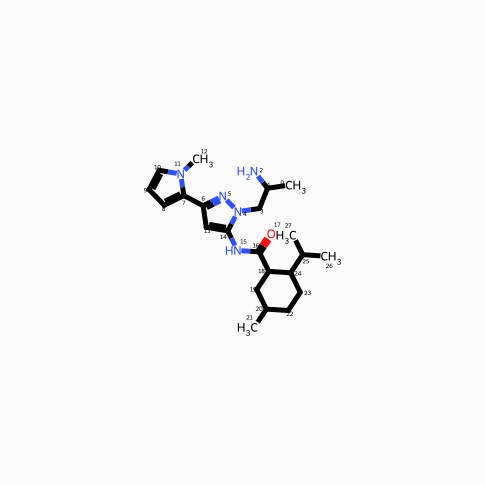 CC(N)Cn1nc(-c2cccn2C)cc1NC(=O)C1CC(C)CCC1C(C)C